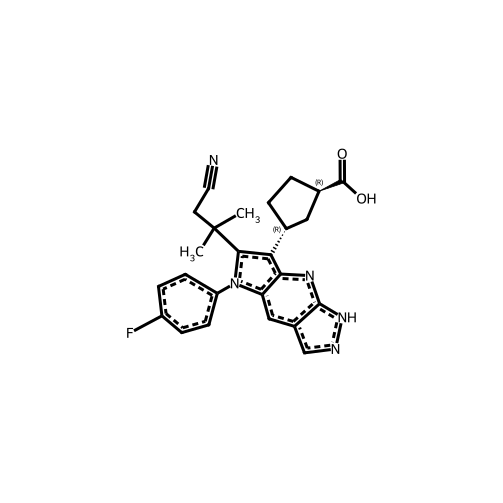 CC(C)(CC#N)c1c([C@@H]2CC[C@@H](C(=O)O)C2)c2nc3[nH]ncc3cc2n1-c1ccc(F)cc1